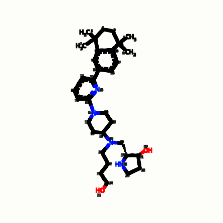 CC1(C)CCC(C)(C)c2cc(-c3cccc(N4CCC(N(CCCCO)C[C@H]5NCC[C@@H]5O)CC4)n3)ccc21